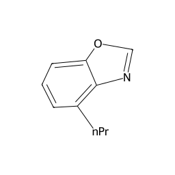 CCCc1cccc2ocnc12